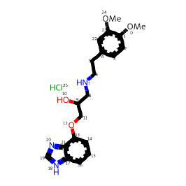 COc1ccc(CCNCC(O)COc2cccc3[nH]cnc23)cc1OC.Cl